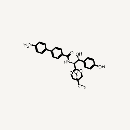 CC12COC([C@@H](NC(=O)c3ccc(-c4ccc(N)cc4)cc3)[C@@H](O)c3ccc(O)cc3)(OC1)OC2